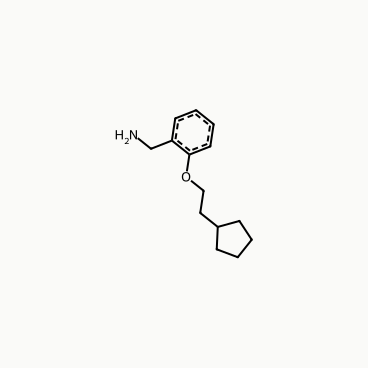 NCc1ccccc1OCCC1CCCC1